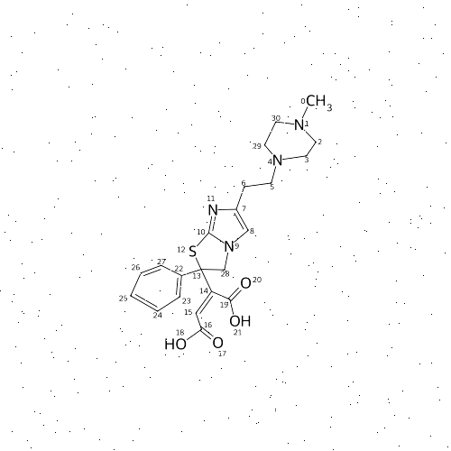 CN1CCN(CCc2cn3c(n2)SC(C(=CC(=O)O)C(=O)O)(c2ccccc2)C3)CC1